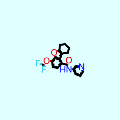 O=C(Nc1cccnc1)c1ccc(OC(F)F)c2oc3c(c12)CCCC3